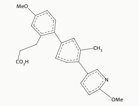 COc1ccc(-c2ccc(-c3ccc(OC)nc3)c(C)c2)c(CCC(=O)O)c1